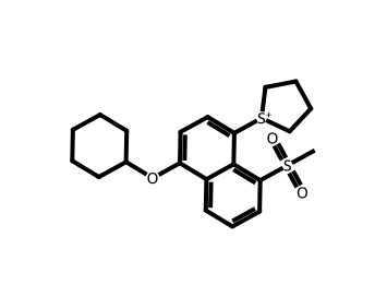 CS(=O)(=O)c1cccc2c(OC3CCCCC3)ccc([S+]3CCCC3)c12